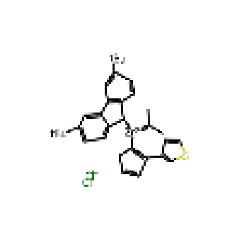 C[C](C)=[Zr+2]([C]1=C(c2ccsc2)C=CC1)[CH]1c2ccc(C(C)(C)C)cc2-c2cc(C(C)(C)C)ccc21.[Cl-].[Cl-]